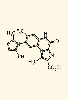 CCOC(=O)c1nc2c(=O)[nH]c3cc(C(F)(F)F)c(-n4c(C)ccc4C)cc3n2c1C